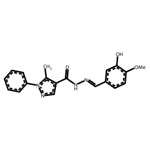 COc1ccc(C=NNC(=O)c2cnn(-c3ccccc3)c2C)cc1O